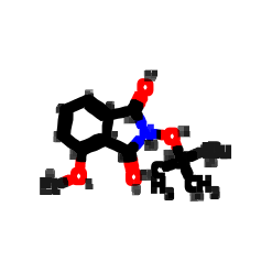 CCOc1cccc2c1C(=O)N(O[Si](C)(C)C(C)(C)C)C2=O